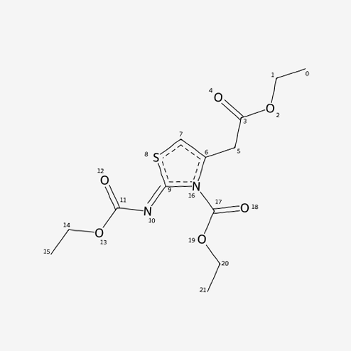 CCOC(=O)Cc1csc(=NC(=O)OCC)n1C(=O)OCC